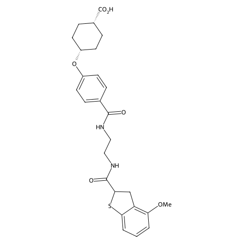 COc1cccc2c1CC(C(=O)NCCNC(=O)c1ccc(O[C@H]3CC[C@@H](C(=O)O)CC3)cc1)S2